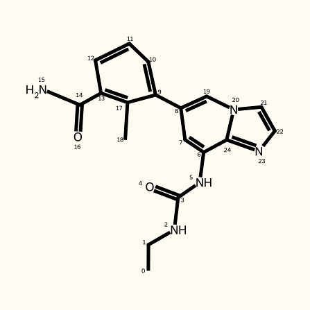 CCNC(=O)Nc1cc(-c2cccc(C(N)=O)c2C)cn2ccnc12